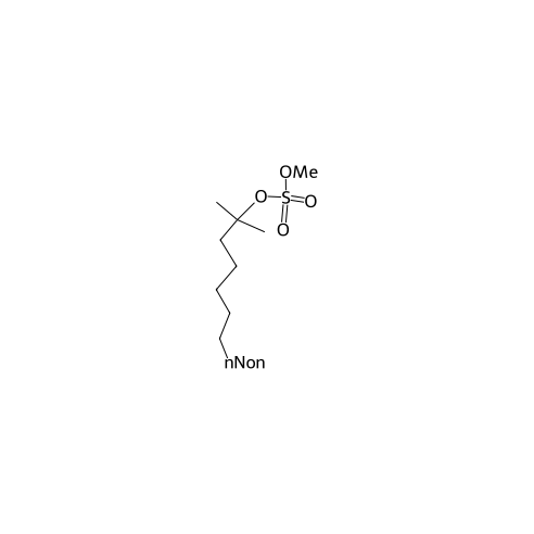 CCCCCCCCCCCCCCC(C)(C)OS(=O)(=O)OC